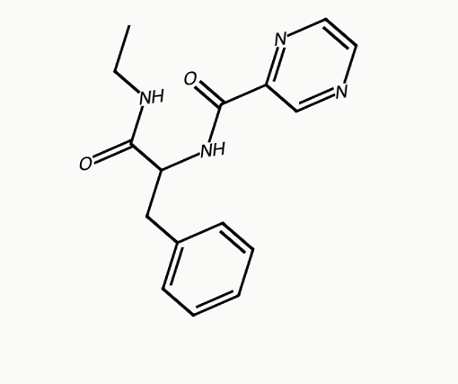 CCNC(=O)C(Cc1ccccc1)NC(=O)c1cnccn1